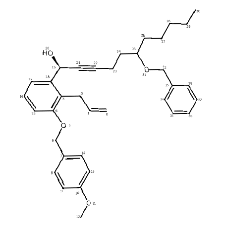 C=CCc1c(OCc2ccc(OC)cc2)cccc1[C@@H](O)C#CCCC(CCCCC)OCc1ccccc1